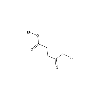 CCOC(=O)CCC(=O)SCC